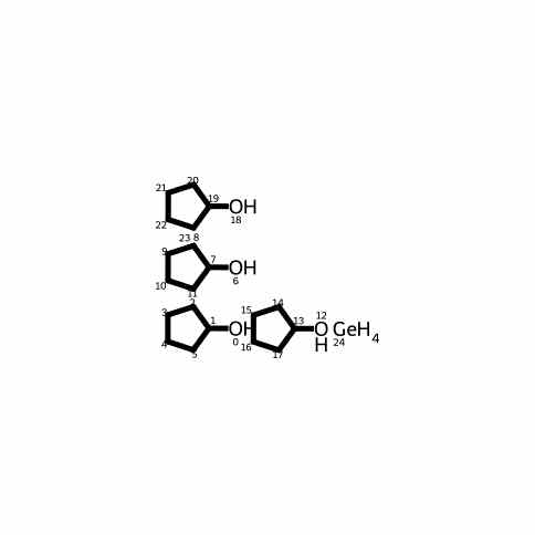 OC1CCCC1.OC1CCCC1.OC1CCCC1.OC1CCCC1.[GeH4]